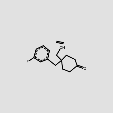 C=C.O=C1CCC(CO)(Cc2cccc(F)c2)CC1